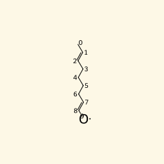 CC=CCCCCC=C[O]